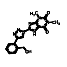 Cn1c(=O)c2[nH]c(-n3cc(-c4ccccc4CO)nn3)nc2n(C)c1=O